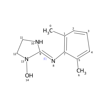 Cc1cccc(C)c1/N=C1\NCCN1O